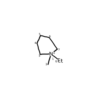 [CH2]C[N+]1(C)CCCCC1